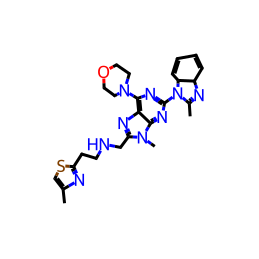 CC1=NC2C=CC=CC2N1c1nc(N2CCOCC2)c2nc(CNCCc3nc(C)cs3)n(C)c2n1